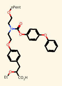 CCCCCOCCN(CCOc1ccc(CC(OCC)C(=O)O)cc1)C(=O)Oc1ccc(Oc2ccccc2)cc1